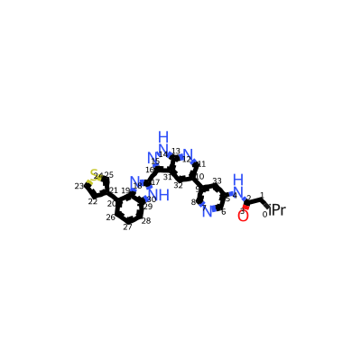 CC(C)CC(=O)Nc1cncc(-c2cnc3[nH]nc(-c4nc5c(-c6ccsc6)cccc5[nH]4)c3c2)c1